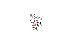 CO[SiH2]C1CCCC(C(C)C)C1OC